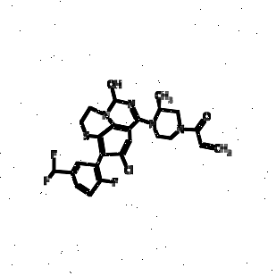 C=CC(=O)N1CCN(C2=NC(O)N3CCSc4c(-c5cc(C(F)F)ccc5F)c(Cl)cc2c43)[C@@H](C)C1